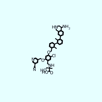 Cc1c(COc2cc(OCc3cncc(C#N)c3)c(CNC(C)(CO)C(=O)O)cc2Cl)cccc1-c1cccc(-c2ccc3c(c2)CNCC3N)c1C